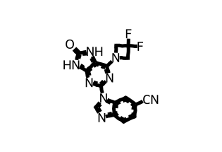 N#Cc1ccc2ncn(-c3nc(N4CC(F)(F)C4)c4[nH]c(=O)[nH]c4n3)c2c1